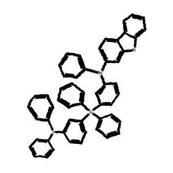 c1ccc(N(c2ccccc2)c2cccc([Si](c3ccccc3)(c3ccccc3)c3cccc(N(c4ccccc4)c4ccc5c(c4)sc4ccccc45)c3)c2)cc1